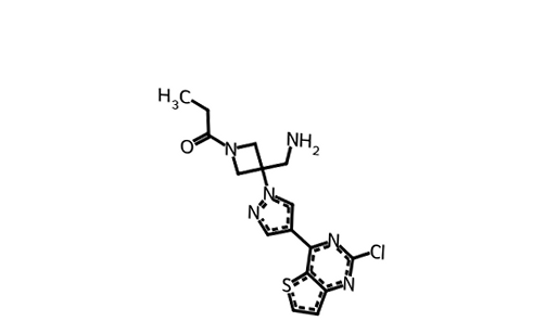 CCC(=O)N1CC(CN)(n2cc(-c3nc(Cl)nc4ccsc34)cn2)C1